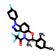 Cc1ccc([C@H](Oc2ccc3c(cnn3-c3ccc(F)cc3)c2)[C@H](C)NC(=O)C(F)(F)F)c(C)c1